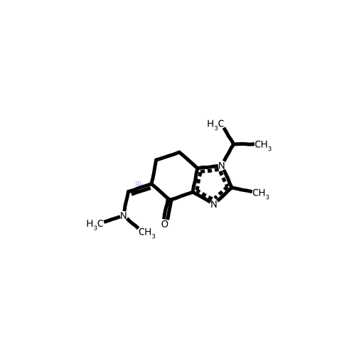 Cc1nc2c(n1C(C)C)CC/C(=C/N(C)C)C2=O